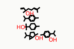 C=CC(C)(O)CCC=C(C)C.CC(C)C12CCC(C)(O)C1C2.CC1=CCC(C(C)(C)O)CC1.Cc1ccc(C(C)C)c(O)c1.Cc1ccc(C(C)C)cc1